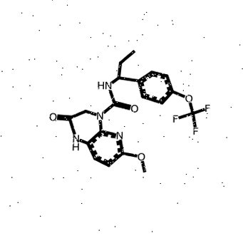 CCC(NC(=O)N1CC(=O)Nc2ccc(OC)nc21)c1ccc(OC(F)(F)F)cc1